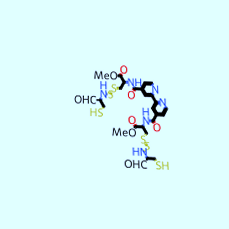 COC(=O)C(CSSN[C@H](C=O)CS)NC(=O)c1ccnc(-c2cc(C(=O)NC(CSSN[C@H](C=O)CS)C(=O)OC)ccn2)c1